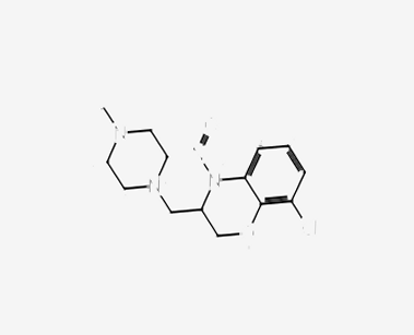 CN1CCN(CC2COc3c(Cl)cccc3N2N=O)CC1